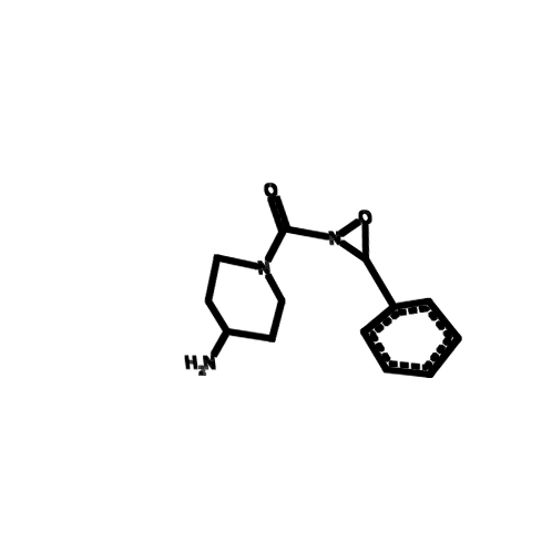 NC1CCN(C(=O)N2OC2c2ccccc2)CC1